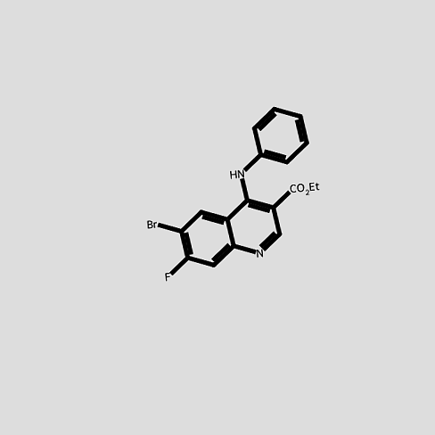 CCOC(=O)c1cnc2cc(F)c(Br)cc2c1Nc1ccccc1